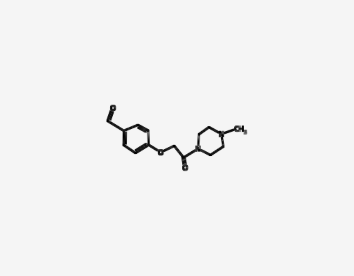 CN1CCN(C(=O)COc2ccc(C=O)cc2)CC1